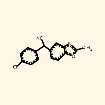 Cc1nc2cc(C(C#N)c3ccc(Cl)cc3)ccc2o1